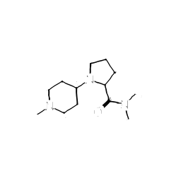 CN1CCC(N2CCCC2C(=O)N(C)C)CC1